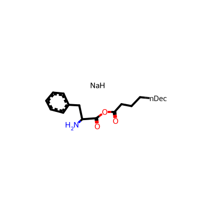 CCCCCCCCCCCCCC(=O)OC(=O)C(N)Cc1ccccc1.[NaH]